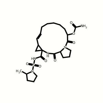 CC1CCCN1S(=O)(=O)NC(=O)C12CC1/C=C/CCCCCC(OC(N)=O)C(=O)N1CCCC1C(=O)N2